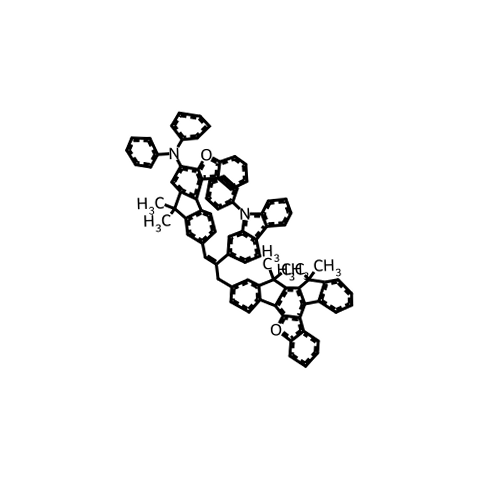 CC1(C)c2cc(/C=C(/Cc3ccc4c(c3)C(C)(C)c3c5c(c6c(oc7ccccc76)c3-4)-c3ccccc3C5(C)C)c3ccc4c5ccccc5n(-c5ccccc5)c4c3)ccc2-c2c1cc(N(c1ccccc1)c1ccccc1)c1oc3ccccc3c21